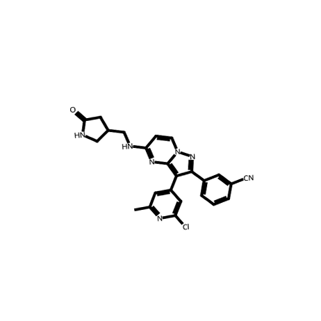 Cc1cc(-c2c(-c3cccc(C#N)c3)nn3ccc(NCC4CNC(=O)C4)nc23)cc(Cl)n1